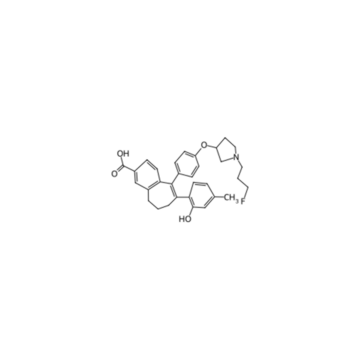 Cc1ccc(C2=C(c3ccc(OC4CCN(CCCF)C4)cc3)c3ccc(C(=O)O)cc3CCC2)c(O)c1